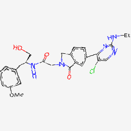 CCNc1ncc(Cl)c(-c2ccc3c(c2)C(=O)N(CC(=O)N[C@H](CO)c2cccc(OC)c2)C3)n1